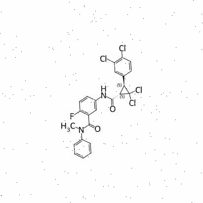 CN(C(=O)c1cc(NC(=O)[C@@H]2[C@@H](c3ccc(Cl)c(Cl)c3)C2(Cl)Cl)ccc1F)c1ccccc1